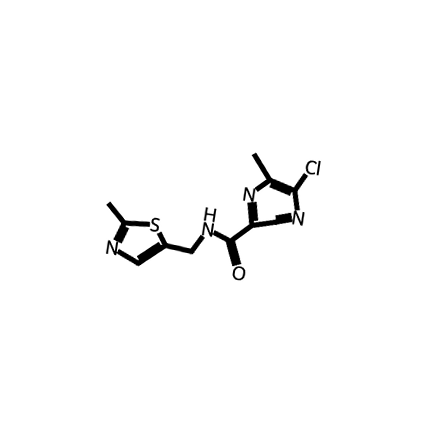 Cc1ncc(CNC(=O)c2cnc(Cl)c(C)n2)s1